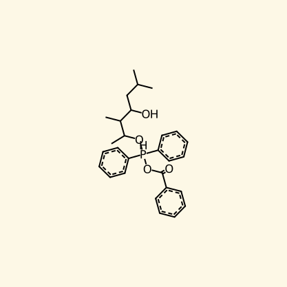 CC(C)CC(O)C(C)C(C)O[PH](OC(=O)c1ccccc1)(c1ccccc1)c1ccccc1